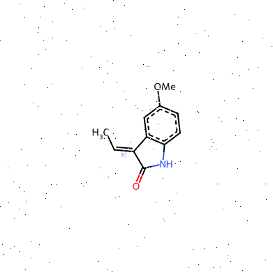 C/C=C1/C(=O)Nc2ccc(OC)cc21